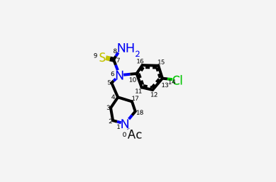 CC(=O)N1CCC(CN(C(N)=S)c2ccc(Cl)cc2)CC1